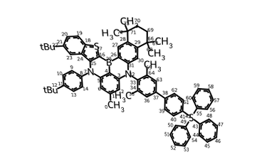 Cc1cc2c3c(c1)N(c1ccc(C(C)(C)C)cc1)c1c(sc4ccc(C(C)(C)C)cc14)B3c1cc3c(cc1N2c1c(C)cc(-c2ccc(S(c4ccccc4)(c4ccccc4)c4ccccc4)cc2)cc1C)C(C)(C)CCC3(C)C